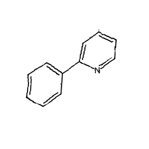 [c]1ccnc(-c2ccccc2)c1